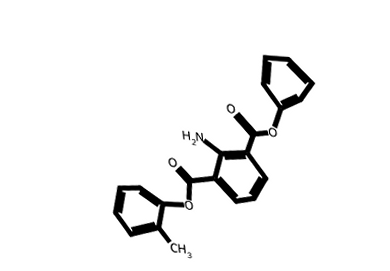 Cc1ccccc1OC(=O)c1cccc(C(=O)Oc2ccccc2)c1N